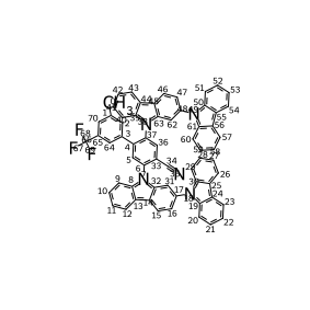 Cc1cc(-c2cc(-n3c4ccccc4c4ccc(-n5c6ccccc6c6ccccc65)cc43)c(C#N)cc2-n2c3ccccc3c3ccc(-n4c5ccccc5c5ccccc54)cc32)cc(C(F)(F)F)c1